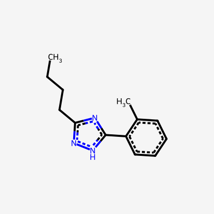 CCCCc1n[nH]c(-c2ccccc2C)n1